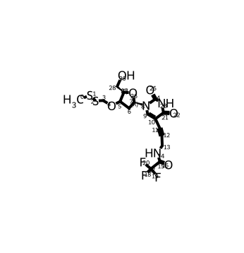 CSSCOC1C[C@H](n2cc(C#CCNC(=O)C(F)(F)F)c(=O)[nH]c2=O)O[C@@H]1CO